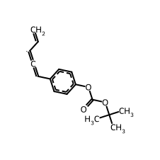 C=C[C]=C=Cc1ccc(OC(=O)OC(C)(C)C)cc1